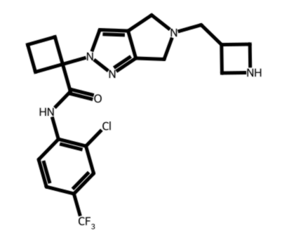 O=C(Nc1ccc(C(F)(F)F)cc1Cl)C1(n2cc3c(n2)CN(CC2CNC2)C3)CCC1